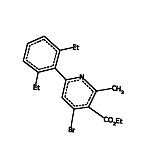 CCOC(=O)c1c(Br)cc(-c2c(CC)cccc2CC)nc1C